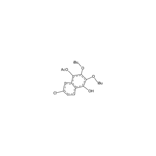 CCC(C)Oc1c(OC(C)CC)c(OC(C)=O)c2cc(Cl)ccc2c1O